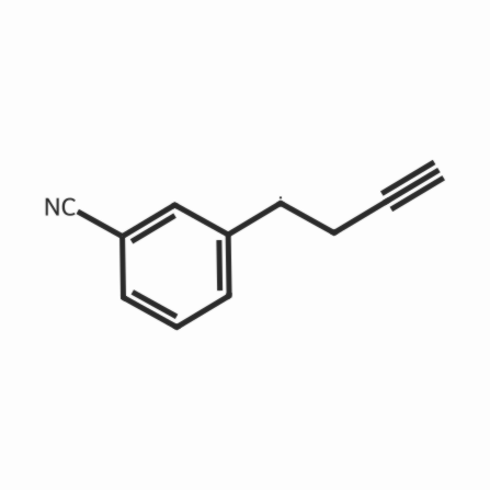 C#CC[CH]c1cccc(C#N)c1